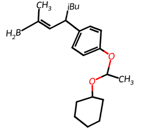 B/C(C)=C/C(c1ccc(OC(C)OC2CCCCC2)cc1)C(C)CC